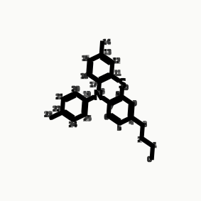 CCCCc1ccc2c(c1)Sc1cc(C)ccc1N2c1ccc(C)cc1